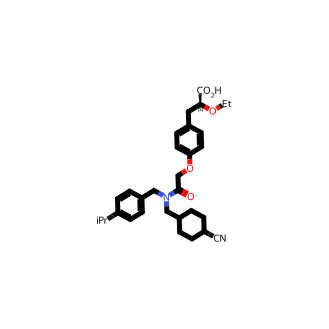 CCO[C@@H](Cc1ccc(OCC(=O)N(Cc2ccc(C(C)C)cc2)CC2CCC(C#N)CC2)cc1)C(=O)O